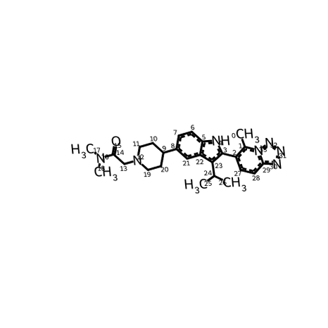 Cc1c(-c2[nH]c3ccc(C4CCN(CC(=O)N(C)C)CC4)cc3c2C(C)C)ccc2nnnn12